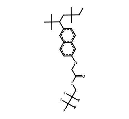 CCC(C)(C)CC(c1ccc2cc(OCC(=O)OCC(F)(F)C(F)(F)F)ccc2c1)C(C)(C)C